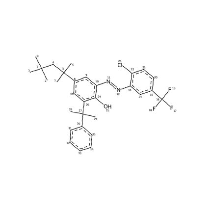 CC(C)(C)CC(C)(C)c1cc(N=Nc2cc(C(F)(F)F)ccc2Cl)c(O)c(C(C)(C)c2ccccc2)c1